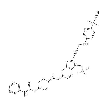 CC(C)(C#N)c1ccc(NCC#Cc2cc3cc(CNC4CCN(CC(=O)Nc5cccnc5)CC4)ccc3n2CC(F)(F)F)cn1